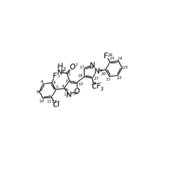 NC(=O)c1c(-c2c(F)cccc2Cl)noc1-c1cnn(-c2ccccc2F)c1C(F)(F)F